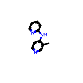 Cc1cnccc1Nc1ccccn1